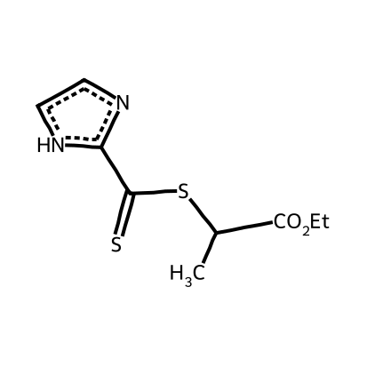 CCOC(=O)C(C)SC(=S)c1ncc[nH]1